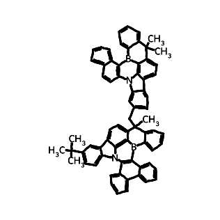 CC(C)(C)c1ccc2c(c1)c1ccc3c4c1n2-c1c(c2ccccc2c2ccccc12)B4c1ccccc1C3(C)Cc1ccc2c3ccc4c5c3n(c2c1)-c1ccc2ccccc2c1B5c1ccccc1C4(C)C